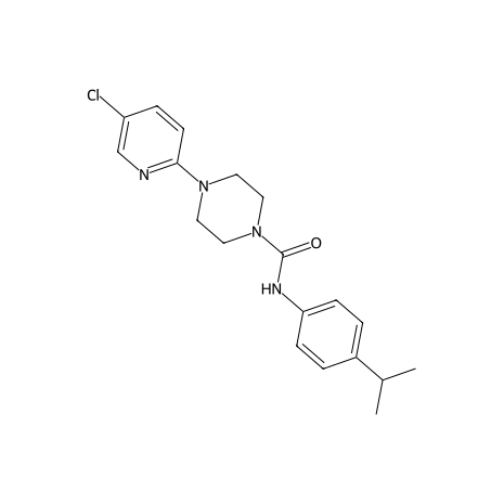 CC(C)c1ccc(NC(=O)N2CCN(c3ccc(Cl)cn3)CC2)cc1